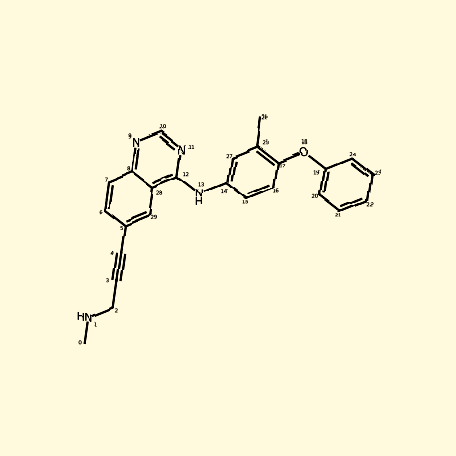 CNCC#Cc1ccc2ncnc(Nc3ccc(Oc4ccccc4)c(C)c3)c2c1